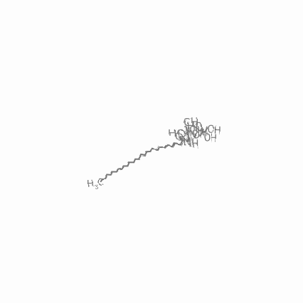 CCCCCCCCCCCCCCCCCCCCCCCCCCCC(=O)N[C@@H](COC[C@H](O)[C@@H](O)CO)[C@H](O)[C@H](O)CC